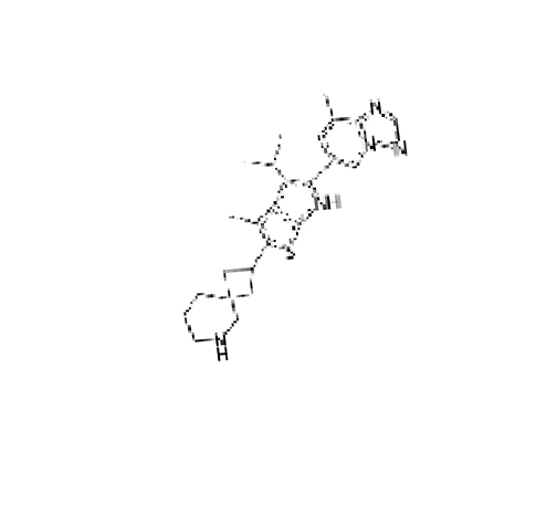 Cc1c(C2CC3(CCCNC3)C2)sc2[nH]c(-c3cc(C)c4ncnn4c3)c(C(C)C)c12